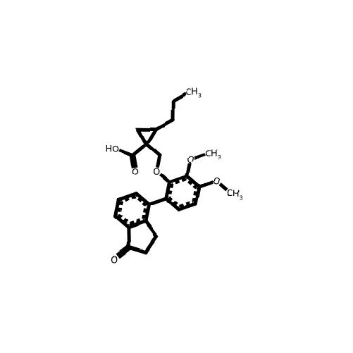 CCCC1CC1(COc1c(-c2cccc3c2CCC3=O)ccc(OC)c1OC)C(=O)O